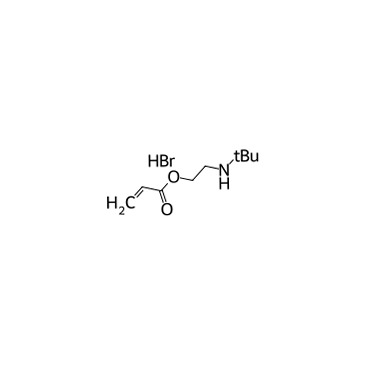 Br.C=CC(=O)OCCNC(C)(C)C